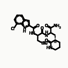 CC(C)(C)CC(NC(=O)c1cc2cccc(Cl)c2[nH]1)C(=O)NC(C[C@@H]1CCCNC1=O)C(N)=O